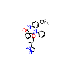 CN1C(=O)C2(CCc3cc(-c4ccnn4C)ccc32)C(=O)N(c2ccccc2)c2cc(C(F)(F)F)ccc21